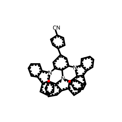 N#Cc1ccc(-c2cc(-n3c4ccccc4c4ccccc43)c(-n3c4ccccc4c4ccccc43)c(-n3c4ccccc4c4ccccc43)c2)cc1